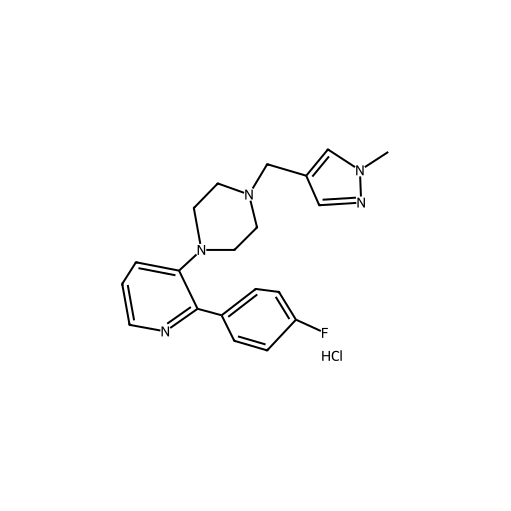 Cl.Cn1cc(CN2CCN(c3cccnc3-c3ccc(F)cc3)CC2)cn1